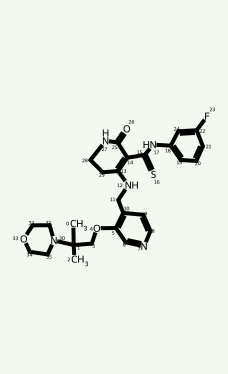 CC(C)(COc1cnccc1CNC1=C(C(=S)Nc2cccc(F)c2)C(=O)NCC1)N1CCOCC1